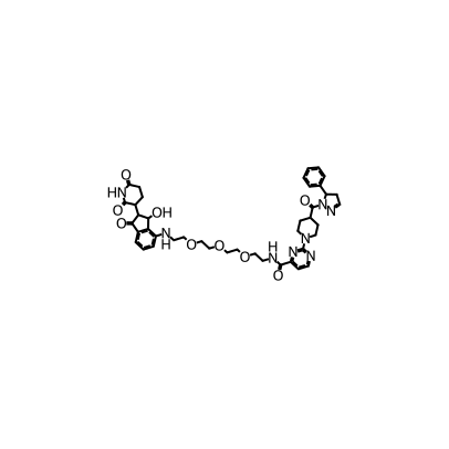 O=C1CCC(C2C(=O)c3cccc(NCCOCCOCCOCCNC(=O)c4ccnc(N5CCC(C(=O)N6N=CCC6c6ccccc6)CC5)n4)c3C2O)C(=O)N1